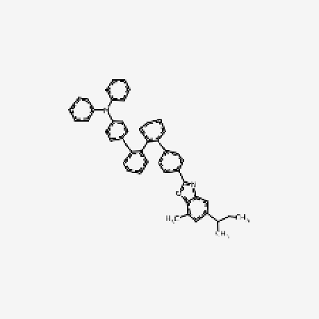 CCC(C)c1cc(C)c2oc(-c3ccc(-c4ccccc4-c4ccccc4-c4ccc(N(c5ccccc5)c5ccccc5)cc4)cc3)nc2c1